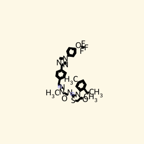 Cc1ccc(C(C)C)c(N2C(=O)CS/C2=N\C(=O)N(C)/N=C/c2ccc(-c3ncn(-c4ccc(OC(F)(F)F)cc4)n3)cc2)c1